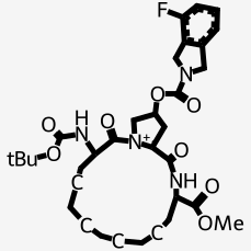 COC(=O)C1CCCCCCCCCC(NC(=O)OC(C)(C)C)C(=O)[N+]2CC(OC(=O)N3Cc4cccc(F)c4C3)CC2C(=O)N1